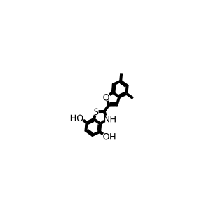 Cc1cc(C)c2cc(C3Nc4c(O)ccc(O)c4S3)oc2c1